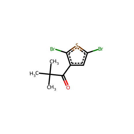 CC(C)(C)C(=O)c1cc(Br)sc1Br